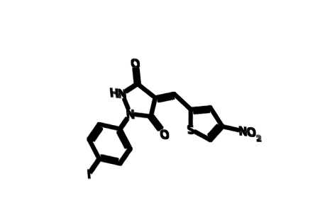 O=C1NN(c2ccc(I)cc2)C(=O)C1=Cc1cc([N+](=O)[O-])cs1